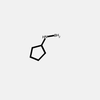 BNC1CCCC1